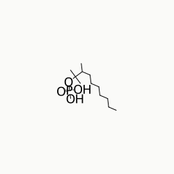 CCCCCCCC(C)C(C)(C)OP(=O)(O)O